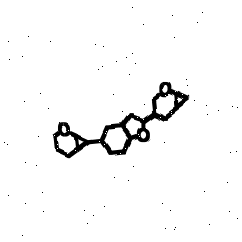 C1COC2C(C1)C2C1CCC2OC(C3COC4CC4C3)CC2C1